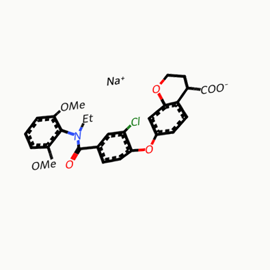 CCN(C(=O)c1ccc(Oc2ccc3c(c2)OCCC3C(=O)[O-])c(Cl)c1)c1c(OC)cccc1OC.[Na+]